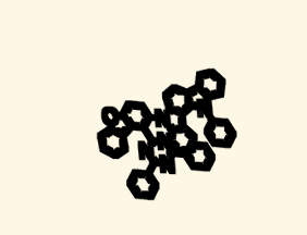 c1ccc(-c2nc(-c3ccccc3)nc(-c3c(-n4c5ccccc5c5c4ccc4c6ccccc6n(-c6ccccc6)c45)ccc4oc5ccccc5c34)n2)cc1